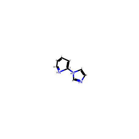 [c]1ccc(-n2ccnc2)nc1